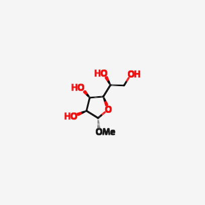 CO[C@H]1O[C@H]([C@@H](O)CO)[C@H](O)[C@@H]1O